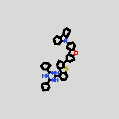 c1ccc(C2NC(c3ccccc3)NC(c3cccc4sc5c(-c6ccc7oc8ccc(-n9c%10ccccc%10c%10ccccc%109)cc8c7c6)cccc5c34)N2)cc1